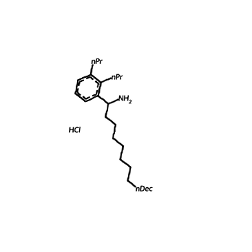 CCCCCCCCCCCCCCCCCC(N)c1cccc(CCC)c1CCC.Cl